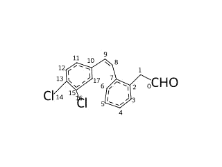 O=CCc1ccccc1/C=C\c1ccc(Cl)c(Cl)c1